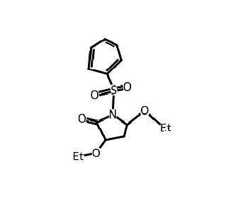 CCOC1CC(OCC)N(S(=O)(=O)c2ccccc2)C1=O